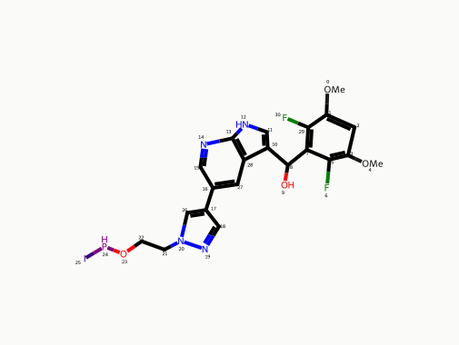 COc1cc(OC)c(F)c(C(O)c2c[nH]c3ncc(-c4cnn(CCOPI)c4)cc23)c1F